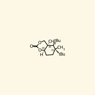 CC(C)(C)C1[C@]2(C)COC(=O)O[C@@H]2CC[C@]1(C)C(C)(C)C